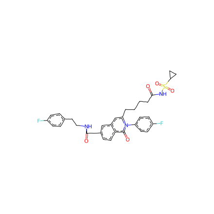 O=C(CCCCc1cc2cc(C(=O)NCCc3ccc(F)cc3)ccc2c(=O)n1-c1ccc(F)cc1)NS(=O)(=O)C1CC1